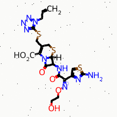 C=CCn1nnnc1SCC1=C(C(=O)O)N2C(=O)C(NC(=O)/C(=N\OCCO)c3csc(N)n3)[C@H]2SC1